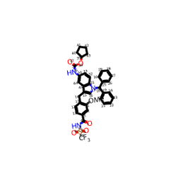 COc1cc(C(=O)NS(=O)(=O)C(F)(F)F)ccc1Cc1cn(C(c2ccccc2)c2ccccc2)c2ccc(NC(=O)OC3CCCC3)cc12